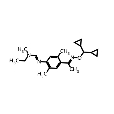 CCN(C)C=Nc1cc(C)c(C(C)=NOC(C2CC2)C2CC2)cc1C